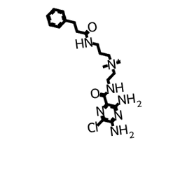 C[N+](C)(CCCNC(=O)CCc1ccccc1)CCNC(=O)c1nc(Cl)c(N)nc1N